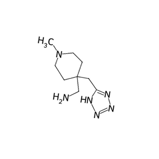 CN1CCC(CN)(Cc2nnn[nH]2)CC1